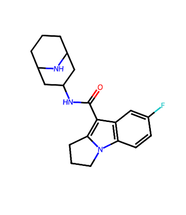 O=C(NC1CC2CCCC(C1)N2)c1c2n(c3ccc(F)cc13)CCC2